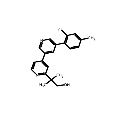 Cc1ccc(-c2cncc(-c3ccnc(C(C)(C)CO)c3)c2)c(Cl)c1